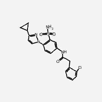 NS(=O)(=O)c1cc(NC(=O)Cc2ccccc2Cl)ccc1-n1ccc(C2CC2)n1